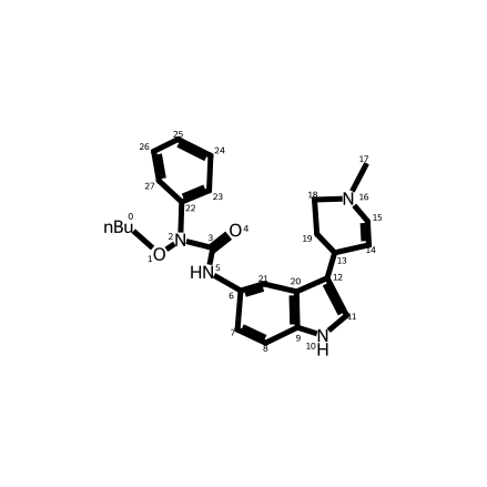 CCCCON(C(=O)Nc1ccc2[nH]cc(C3C=CN(C)CC3)c2c1)c1ccccc1